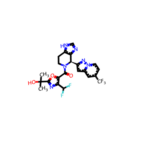 CC(C)(O)c1nc(C(F)F)c(C(=O)N2CCc3[nH]cnc3[C@H]2c2cc3cc(C(F)(F)F)ccn3n2)o1